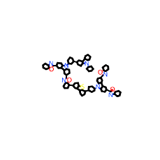 c1ccc(-n2c3ccccc3c3cc(-c4cccc(-n5c6ccc(-c7nc8ccccc8o7)cc6c6cc(-c7nc8cccc(-c9ccc%10sc%11c(-c%12ccc(-n%13c%14ccc(-c%15nc%16ccccc%16o%15)cc%14c%14cc(-c%15nc%16ccccc%16o%15)ccc%14%13)cc%12)cccc%11c%10c9)c8o7)ccc65)c4)ccc32)cc1